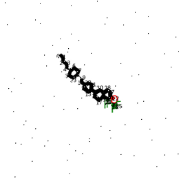 CCCCC[C@H]1CC[C@H](CCc2ccc(-c3ccc4c(F)c(OC(F)(F)F)ccc4c3)cc2)CC1